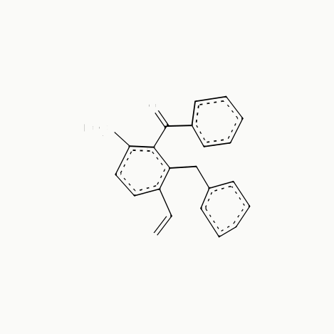 C=Cc1ccc(C(=O)O)c(C(=O)c2ccccc2)c1Cc1ccccc1